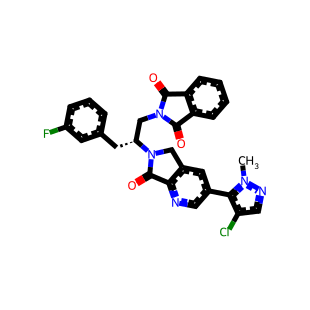 Cn1ncc(Cl)c1-c1cnc2c(c1)CN([C@H](Cc1cccc(F)c1)CN1C(=O)c3ccccc3C1=O)C2=O